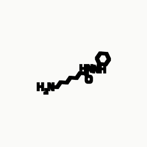 NCCCCCCC(=O)NNC1CCCCC1